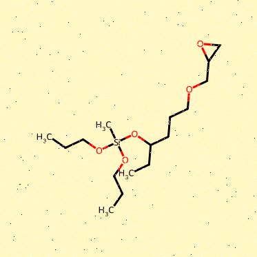 CCCO[Si](C)(OCCC)OC(CC)CCCOCC1CO1